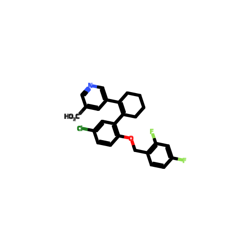 O=C(O)c1cncc(C2=C(c3cc(Cl)ccc3OCc3ccc(F)cc3F)CCCC2)c1